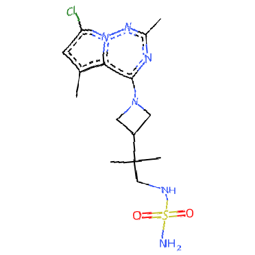 Cc1nc(N2CC(C(C)(C)CNS(N)(=O)=O)C2)c2c(C)cc(Cl)n2n1